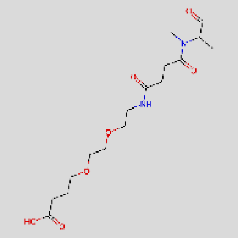 CC(C=O)N(C)C(=O)CCC(=O)NCCOCCOCCCC(=O)O